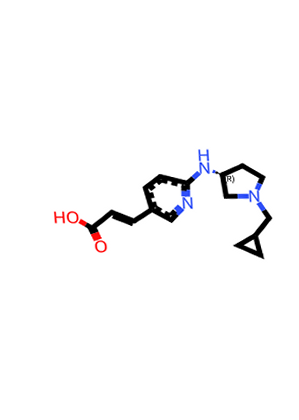 O=C(O)C=Cc1ccc(N[C@@H]2CCN(CC3CC3)C2)nc1